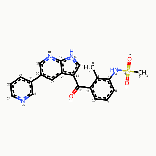 Cc1c(NS(C)(=O)=O)cccc1C(=O)c1c[nH]c2ncc(-c3cccnc3)cc12